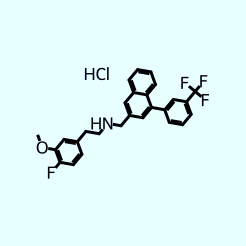 COc1cc(CCNCc2cc(-c3cccc(C(F)(F)F)c3)c3ccccc3c2)ccc1F.Cl